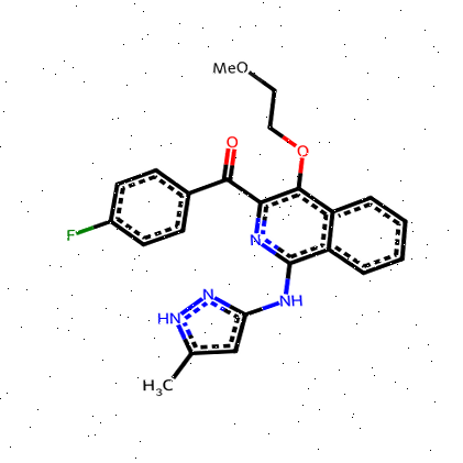 COCCOc1c(C(=O)c2ccc(F)cc2)nc(Nc2cc(C)[nH]n2)c2ccccc12